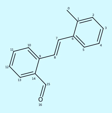 Cc1ccccc1C=Cc1ccccc1C=O